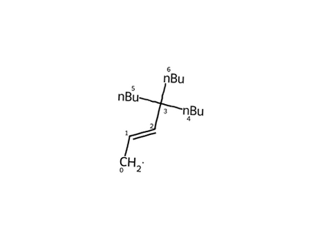 [CH2]C=CC(CCCC)(CCCC)CCCC